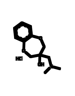 CN(C)CC1(O)COc2ccccc2OC1.Cl